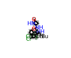 CC(C)(C)C[C@@H]1N[C@@H](C(=O)Nc2ccc(=O)[nH]c2)[C@H](c2cccc(Cl)c2F)[C@@]1(C#N)c1ccc(Cl)cc1F